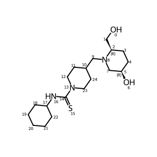 OC[C@H]1CC[C@@H](O)CN1CC1CCN(C(=S)NC2CCCCC2)CC1